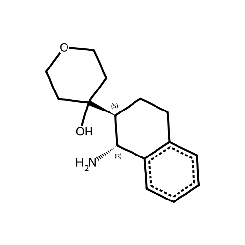 N[C@H]1c2ccccc2CC[C@@H]1C1(O)CCOCC1